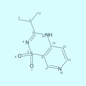 CC(C)C1=NS(=O)(=O)c2cnccc2N1